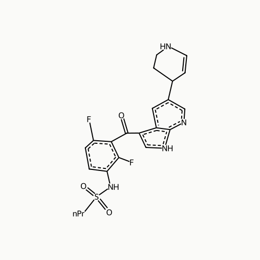 CCCS(=O)(=O)Nc1ccc(F)c(C(=O)c2c[nH]c3ncc(C4C=CNCC4)cc23)c1F